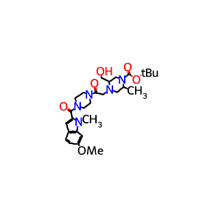 COc1ccc2cc(C(=O)N3CCN(C(=O)CN4CC(C)N(C(=O)OC(C)(C)C)CC4CO)CC3)n(C)c2c1